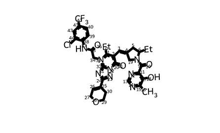 CCc1c(C=C2CC(CC)N(C(=O)c3ncnc(C)c3O)C2)c(=O)n2nc(C3=CCOCC3)nc2n1CC(=O)Nc1ccc(C(F)(F)F)cc1Cl